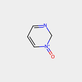 O=[N+]1C=CC=NC1